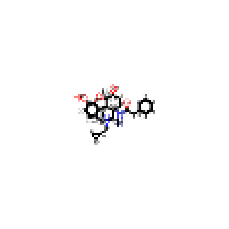 O=C(Cc1ccccc1)N[C@@]12CCC(=O)[C@@H]3Oc4c(O)ccc5c4[C@@]31CCN(CC1CC1)[C@@H]2C5